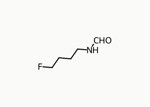 O=CNCCCCF